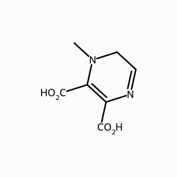 CN1CC=NC(C(=O)O)=C1C(=O)O